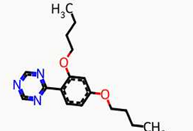 CCCCOc1ccc(-c2ncncn2)c(OCCCC)c1